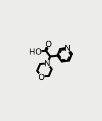 O=C(O)C(c1cccnc1)N1CCOCC1